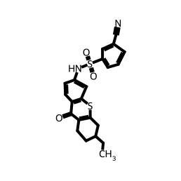 CCC1CCc2c(sc3cc(NS(=O)(=O)c4cccc(C#N)c4)ccc3c2=O)C1